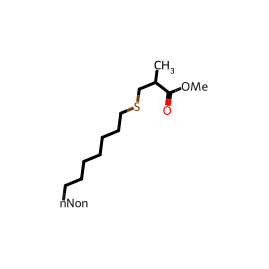 CCCCCCCCCCCCCCCCSCC(C)C(=O)OC